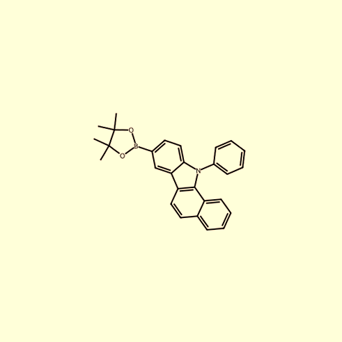 CC1(C)OB(c2ccc3c(c2)c2ccc4ccccc4c2n3-c2ccccc2)OC1(C)C